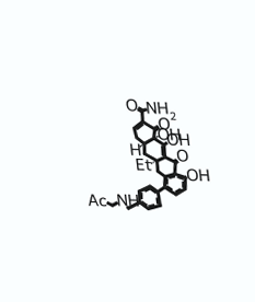 CC[C@@]12Cc3c(-c4ccc(CNCC(C)=O)cc4)ccc(O)c3C(=O)C1=C(O)[C@]1(O)C(=O)C(C(N)=O)=CC[C@@H]1C2